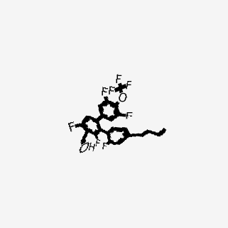 CCCCc1ccc(-c2c(-c3cc(F)c(OC(F)(F)F)c(F)c3)cc(F)c(CO)c2F)c(F)c1